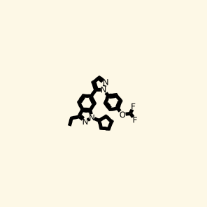 CCc1nn(C2CCCC2)c2cc(-c3ccnn3-c3ccc(OC(F)F)cc3)ccc12